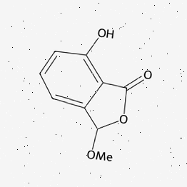 COC1OC(=O)c2c(O)cccc21